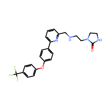 O=C1NCCN1CCNCc1cccc(-c2ccc(Oc3ccc(C(F)(F)F)cc3)cc2)n1